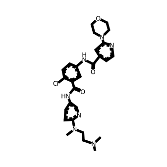 CN(C)CCN(C)c1ccc(NC(=O)c2cc(NC(=O)c3ccnc(N4CCOCC4)c3)ccc2Cl)cn1